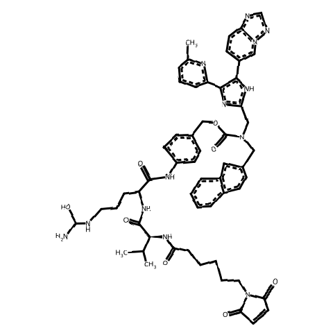 Cc1cccc(-c2nc(CN(Cc3ccc4ccccc4c3)C(=O)OCc3ccc(NC(=O)C(CCCNC(N)O)NC(=O)[C@@H](NC(=O)CCCCCN4C(=O)C=CC4=O)C(C)C)cc3)[nH]c2-c2ccc3ncnn3c2)n1